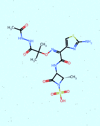 CC(=O)NNC(=O)C(C)(C)O/N=C(\C(=O)N[C@@H]1C(=O)N(S(=O)(=O)O)[C@H]1C)c1csc(N)n1